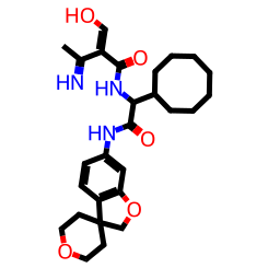 CC(=N)/C(=C\O)C(=O)NC(C(=O)Nc1ccc2c(c1)OCC21CCOCC1)C1CCCCCCC1